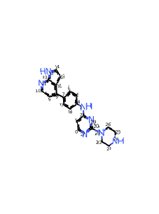 c1cc(Nc2ccc(-c3ccnc4[nH]ccc34)cc2)nc(N2CCNCC2)n1